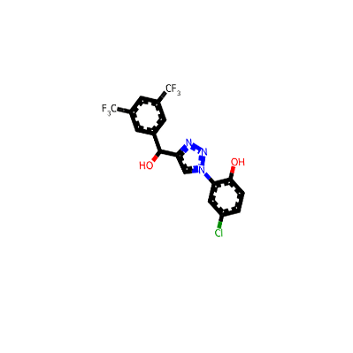 Oc1ccc(Cl)cc1-n1cc(C(O)c2cc(C(F)(F)F)cc(C(F)(F)F)c2)nn1